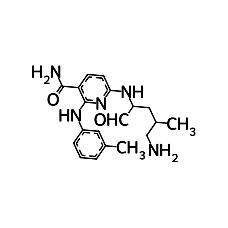 Cc1cccc(Nc2nc(NC(C=O)CC(C)CN)ccc2C(N)=O)c1